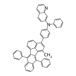 Cc1cc(-c2ccc(N(c3ccccc3)c3ccc4cccnc4c3)cc2)c2cccc3c2c1-c1c-3c(-c2ccccc2)c2ccccc2c1-c1ccccc1